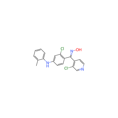 Cc1ccccc1Nc1ccc(/C(=N/O)c2ccncc2Cl)c(Cl)c1